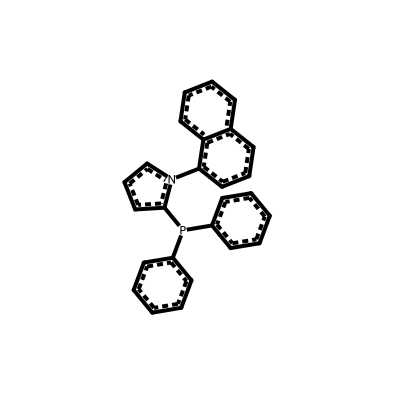 c1ccc(P(c2ccccc2)c2cccn2-c2cccc3ccccc23)cc1